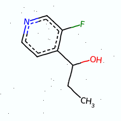 CCC(O)c1ccncc1F